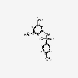 COc1cc(NS(=O)(=O)c2ccc(C)cc2)cc(OC)c1